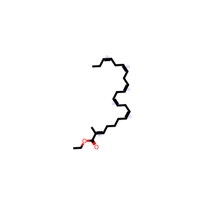 CC/C=C\C/C=C\C/C=C\C/C=C\C/C=C\CCC/C=C(\C)C(=O)OCC